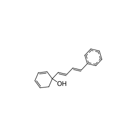 OC1(C=CC=Cc2ccccc2)C=CC=CC1